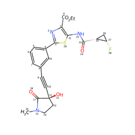 CCOC(=O)c1nc(-c2cccc(C#C[C@]3(O)CCN(C)C3=O)c2)sc1NC(=O)[C@@H]1C[C@@H]1F